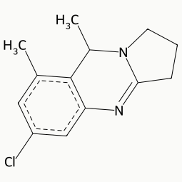 Cc1cc(Cl)cc2c1C(C)N1CCCC1=N2